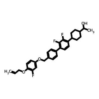 C=CCOc1ccc(OCc2ccc(-c3ccc(C4CCC(C(C)O)CC4)c(F)c3F)cc2)cc1F